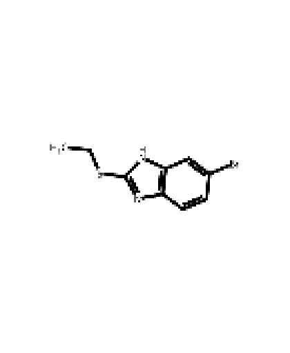 CCSc1nc2ccc(Br)cc2[nH]1